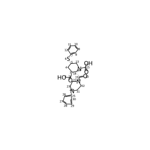 O=C(O)[C@H]1C[C@H](Sc2ccccc2)CN(C(=O)O)[C@@H]1C(=O)N1CCN(c2ccccc2)CC1